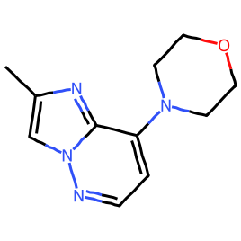 Cc1cn2nccc(N3CCOCC3)c2n1